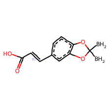 BC1(B)Oc2ccc(/C=C/C(=O)O)cc2O1